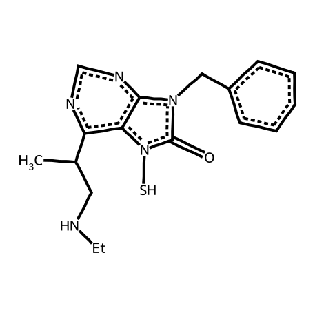 CCNCC(C)c1ncnc2c1n(S)c(=O)n2Cc1ccccc1